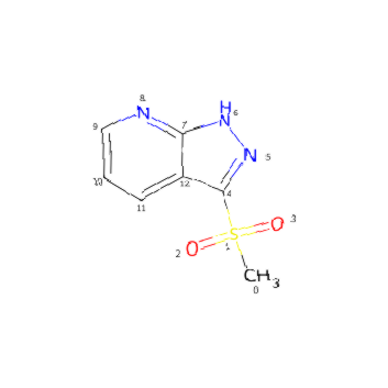 CS(=O)(=O)c1n[nH]c2ncccc12